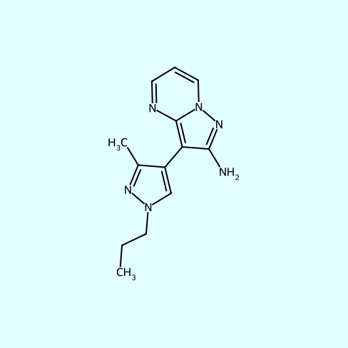 CCCn1cc(-c2c(N)nn3cccnc23)c(C)n1